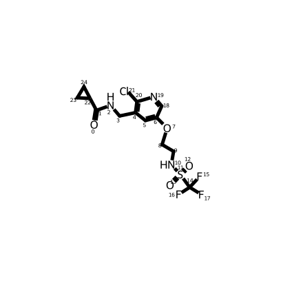 O=C(NCc1cc(OCCNS(=O)(=O)C(F)(F)F)cnc1Cl)C1CC1